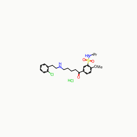 COc1ccc(C(=O)CCCCNCCc2ccccc2Cl)cc1S(=O)(=O)NC(C)C.Cl